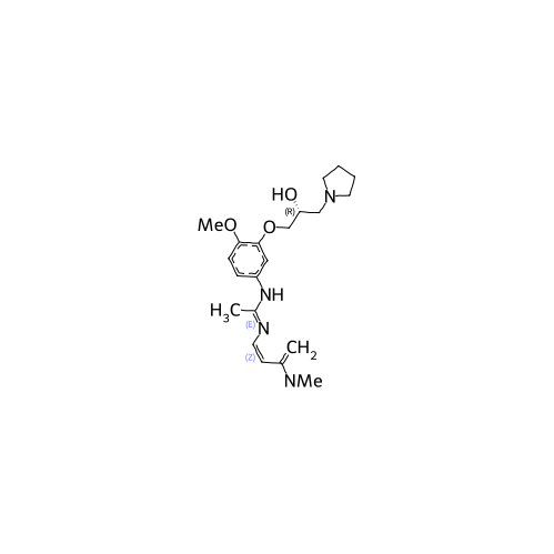 C=C(/C=C\N=C(/C)Nc1ccc(OC)c(OC[C@H](O)CN2CCCC2)c1)NC